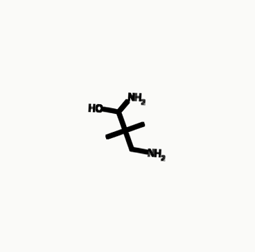 CC(C)(CN)C(N)O